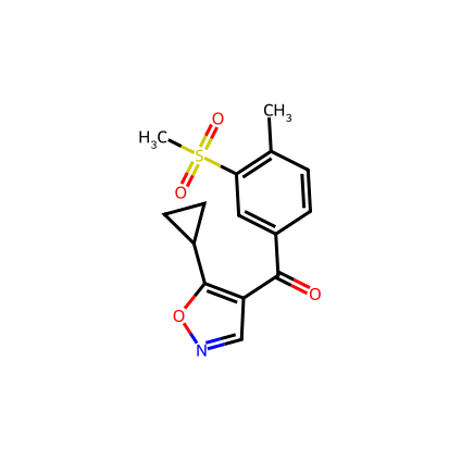 Cc1ccc(C(=O)c2cnoc2C2CC2)cc1S(C)(=O)=O